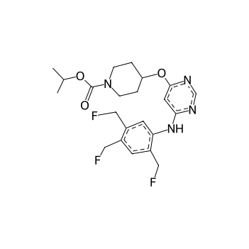 CC(C)OC(=O)N1CCC(Oc2cc(Nc3cc(CF)c(CF)cc3CF)ncn2)CC1